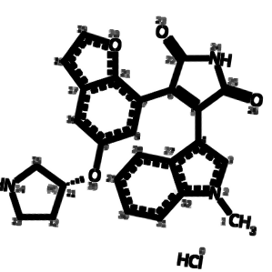 Cl.Cn1cc(C2=C(c3cc(O[C@@H]4CCNC4)cc4ccoc34)C(=O)NC2=O)c2ccccc21